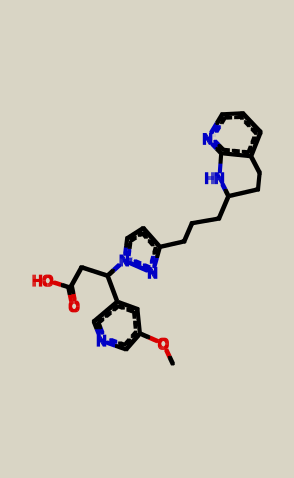 COc1cncc(C(CC(=O)O)n2ccc(CCCC3CCc4cccnc4N3)n2)c1